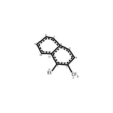 CCc1c(C(F)(F)F)ccc2ccccc12